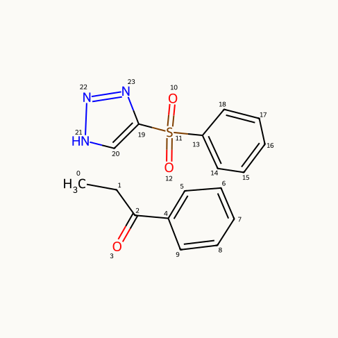 CCC(=O)c1ccccc1.O=S(=O)(c1ccccc1)c1c[nH]nn1